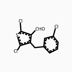 O=Cc1c(Cl)sc(Cl)c1Cc1cccc(Cl)c1